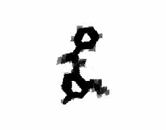 CNc1cc(F)ccc1NC(=O)c1ccccc1